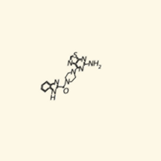 Nc1nc(N2CCN(C(=O)c3nc4ccccc4[nH]3)CC2)c2ncsc2n1